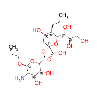 C=CCO[C@H]1OC(CO[C@]2(C(=O)O)C[C@@H](O)[C@@H](CCC)C([C@H](O)[C@H](O)CO)O2)[C@H](O)[C@H](O)C1N